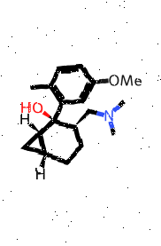 COc1ccc(C)c([C@]2(O)[C@@H](CN(C)C)CC[C@@H]3C[C@@H]32)c1